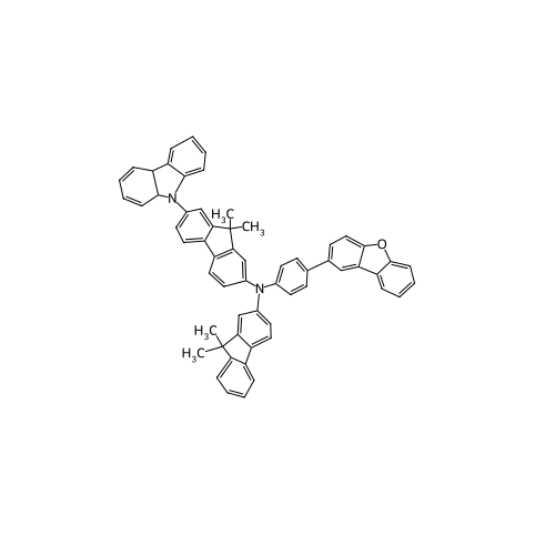 CC1(C)c2ccccc2-c2ccc(N(c3ccc(-c4ccc5oc6ccccc6c5c4)cc3)c3ccc4c(c3)C(C)(C)c3cc(N5c6ccccc6C6C=CC=CC65)ccc3-4)cc21